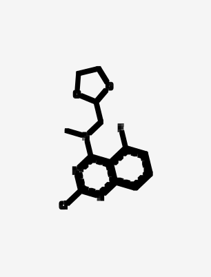 CN(CC1OCCO1)c1nc(Cl)nc2cccc(F)c12